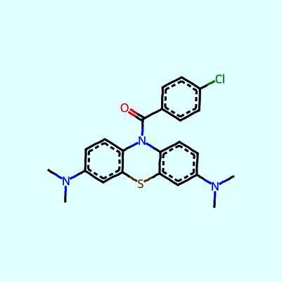 CN(C)c1ccc2c(c1)Sc1cc(N(C)C)ccc1N2C(=O)c1ccc(Cl)cc1